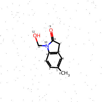 Cc1ccc2c(c1)CC(=O)N2CO